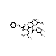 CC(C)CC(N)C(=O)N(C(=O)C(CC(C)C)NC(=O)OCc1ccccc1)C(CC(C)C)C(=O)O